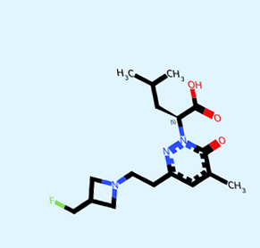 Cc1cc(CCN2CC(CF)C2)nn([C@@H](CC(C)C)C(=O)O)c1=O